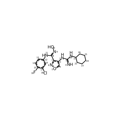 N=C(Nc1conc1/C(=N/O)Nc1ccc(F)c(Cl)c1)NC1CCCCC1